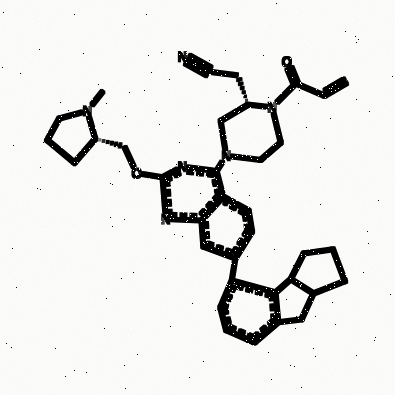 C=CC(=O)N1CCN(c2nc(OC[C@@H]3CCCN3C)nc3cc(-c4cccc5c4C4CCCC4C5)ccc23)C[C@@H]1CC#N